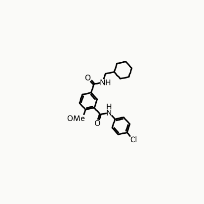 COc1ccc(C(=O)NCC2CCCCC2)cc1C(=O)Nc1ccc(Cl)cc1